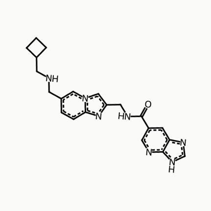 O=C(NCc1cn2cc(CNCC3CCC3)ccc2n1)c1cnc2[nH]cnc2c1